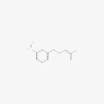 CC(C)=CCCc1cccc(PS)c1